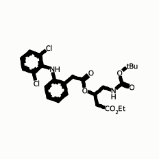 CCOC(=O)CC(CNC(=O)OC(C)(C)C)OC(=O)Cc1ccccc1Nc1c(Cl)cccc1Cl